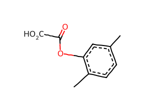 Cc1ccc(C)c(OC(=O)C(=O)O)c1